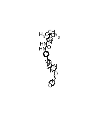 CC(C)(C)c1cc(NC(=O)Nc2ccc(-c3cn4c(n3)sc3nc(OCCN5CCOCC5)cnc34)cc2)no1